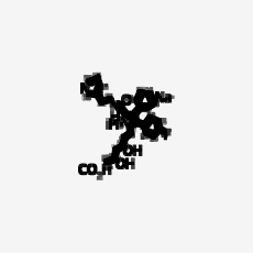 CC(C)n1c(CC[C@@H](O)C[C@@H](O)CC(=O)O)c(-c2ccc(F)cc2)c(-c2ccccc2)c1C(=O)NCCc1cccnc1.[Na]